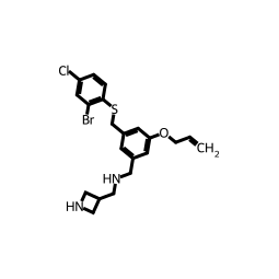 C=CCOc1cc(CNCC2CNC2)cc(CSc2ccc(Cl)cc2Br)c1